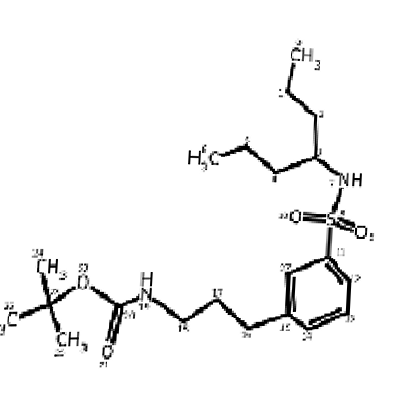 CCCC(CCC)NS(=O)(=O)c1cccc(CCCNC(=O)OC(C)(C)C)c1